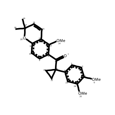 COc1ccc(C2(C(=O)c3ccc4c(c3OC)C=CC(C)(C)O4)CC2)cc1OC